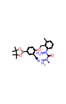 Cc1cccc(N(N)C(=O)N(C)N)c1COc1ccc(B2OC(C)(C)C(C)(C)O2)cc1C#N